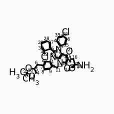 CC1(C)OCC(Cc2ccc(Cn3c(=O)n(CC(N)=O)c(=O)c4c3nc(-c3ccccc3Cl)n4-c3ccc(Cl)cc3)cc2)O1